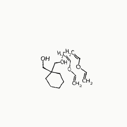 C=COC=C.C=COC=C.OCC1(CO)CCCCC1